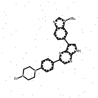 CCN1CCN(c2ccc(-c3cnc4[nH]cc(-c5ccc6ncn(C(C)(C)C)c6c5)c4n3)cc2)CC1